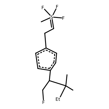 CCC(C)(C)C(CF)c1ccc(CC=S(C)(F)(F)F)cc1